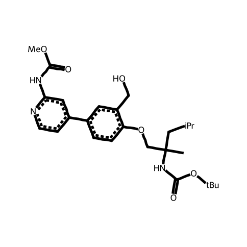 COC(=O)Nc1cc(-c2ccc(OCC(C)(CC(C)C)NC(=O)OC(C)(C)C)c(CO)c2)ccn1